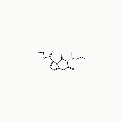 CCOC(=O)c1ccc2n1C(=O)[C@H](C(=O)OCC)C(=O)C2